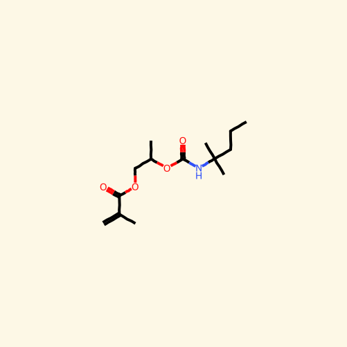 C=C(C)C(=O)OCC(C)OC(=O)NC(C)(C)CCC